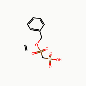 C=C.O=S(=O)(O)CS(=O)(=O)OCc1ccccc1